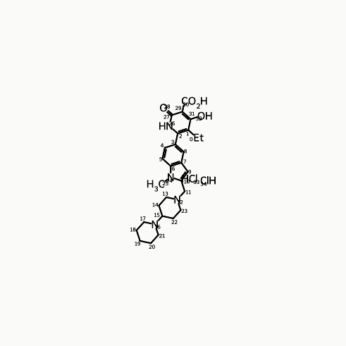 CCc1c(-c2ccc3c(c2)cc(CN2CCC(N4CCCCC4)CC2)n3C)[nH]c(=O)c(C(=O)O)c1O.Cl.Cl